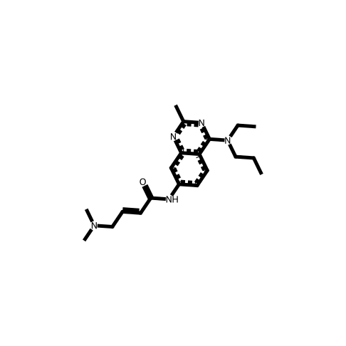 CCCN(CC)c1nc(C)nc2cc(NC(=O)/C=C/CN(C)C)ccc12